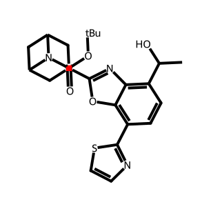 CC(O)c1ccc(-c2nccs2)c2oc(N3CC4CC(C3)N4C(=O)OC(C)(C)C)nc12